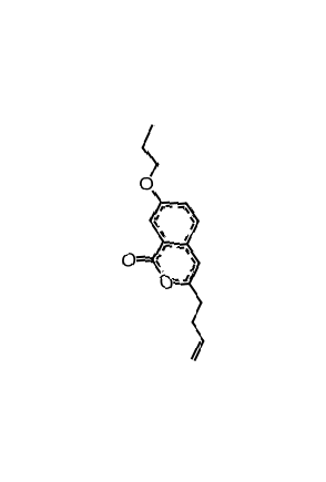 C=CCCc1cc2ccc(OCCC)cc2c(=O)o1